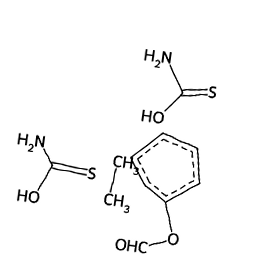 CC.NC(O)=S.NC(O)=S.O=COc1ccccc1